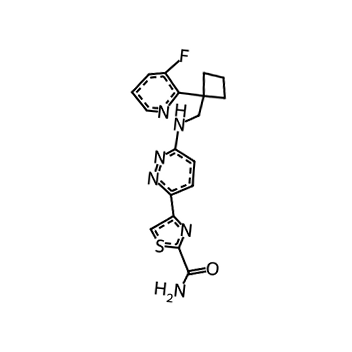 NC(=O)c1nc(-c2ccc(NCC3(c4ncccc4F)CCC3)nn2)cs1